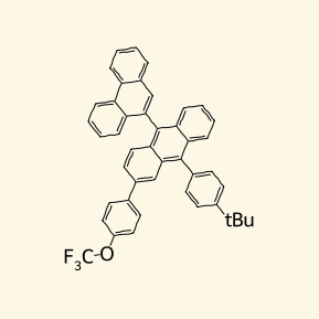 CC(C)(C)c1ccc(-c2c3ccccc3c(-c3cc4ccccc4c4ccccc34)c3ccc(-c4ccc(OC(F)(F)F)cc4)cc23)cc1